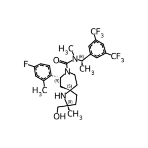 Cc1cc(F)ccc1[C@H]1C[C@@]2(CCN1C(=O)N(C)[C@H](C)c1cc(C(F)(F)F)cc(C(F)(F)F)c1)CC[C@](C)(CO)N2